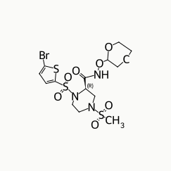 CS(=O)(=O)N1CCN(S(=O)(=O)c2ccc(Br)s2)[C@@H](C(=O)NOC2CCCCO2)C1